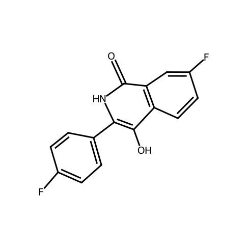 O=c1[nH]c(-c2ccc(F)cc2)c(O)c2ccc(F)cc12